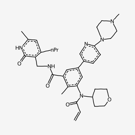 C=CC(=O)N(c1cc(-c2ccc(N3CCN(C)CC3)nc2)cc(C(=O)NCc2c(CCC)cc(C)[nH]c2=O)c1C)C1CCOCC1